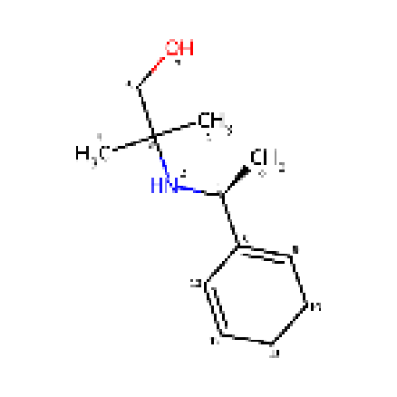 C[C@H](NC(C)(C)CO)C1=CCCC=C1